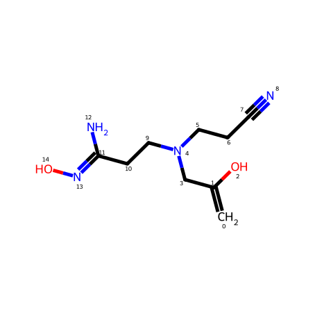 C=C(O)CN(CCC#N)CC/C(N)=N/O